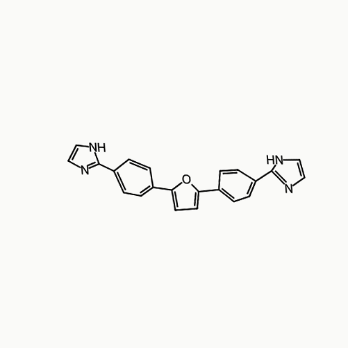 c1c[nH]c(-c2ccc(-c3ccc(-c4ccc(-c5ncc[nH]5)cc4)o3)cc2)n1